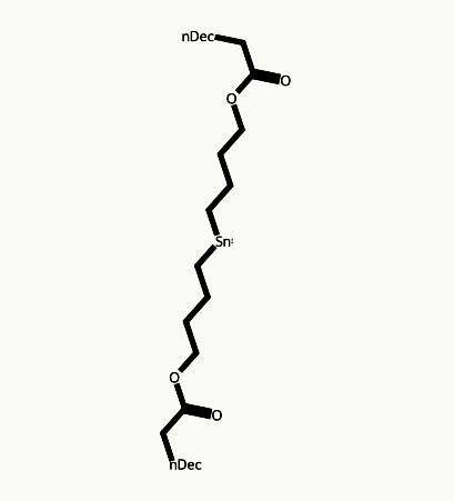 CCCCCCCCCCCC(=O)OCCC[CH2][Sn][CH2]CCCOC(=O)CCCCCCCCCCC